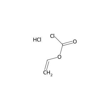 C=COC(=O)Cl.Cl